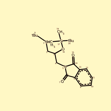 CC(C)(C)NCC(CN1C(=O)c2ccccc2C1=O)O[Si](C)(C)C(C)(C)C